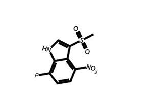 CS(=O)(=O)c1c[nH]c2c(F)ccc([N+](=O)[O-])c12